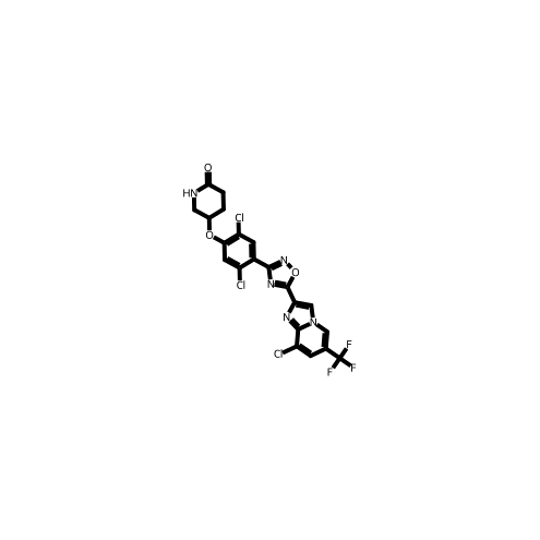 O=C1CCC(Oc2cc(Cl)c(-c3noc(-c4cn5cc(C(F)(F)F)cc(Cl)c5n4)n3)cc2Cl)CN1